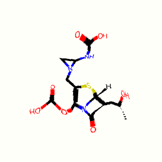 C[C@@H](O)[C@H]1C(=O)N2C(OC(=O)O)=C(CN3CC3NC(=O)O)S[C@H]12